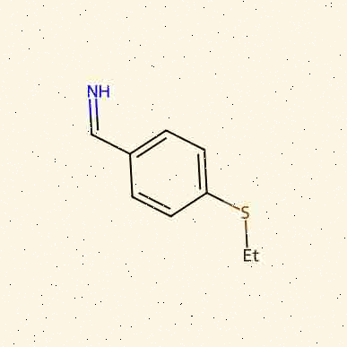 CCSc1ccc(C=N)cc1